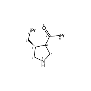 CC(C)C[C@@H]1CNCC1C(=O)C(C)C